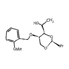 COc1ccccc1CO[C@@H]1CO[C@H](C(C)C)O[C@@H]1C(C)O